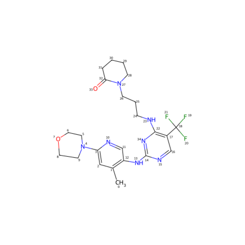 Cc1cc(N2CCOCC2)ncc1Nc1ncc(C(F)(F)F)c(NCCCN2CCCCC2=O)n1